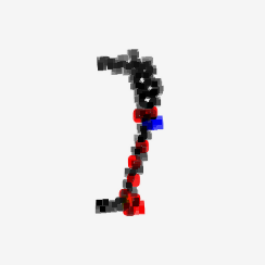 COP(=O)(O)OCCOCCOCCOCCCNC(=O)O[C@H]1CC[C@@]2(C)C(=CCC3C4CCC([C@H](C)CCCC(C)C)[C@@]4(C)CCC32)C1